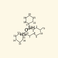 CCCC[SiH](O[SiH](CCCC)C1CCCCC1)C1CCCCC1